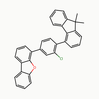 CC1(C)c2ccccc2-c2c(-c3ccc(-c4cccc5c4oc4ccccc45)cc3Cl)cccc21